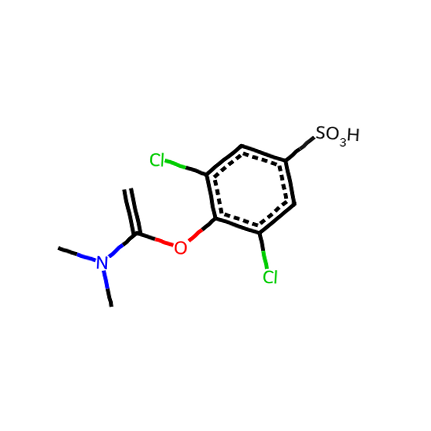 C=C(Oc1c(Cl)cc(S(=O)(=O)O)cc1Cl)N(C)C